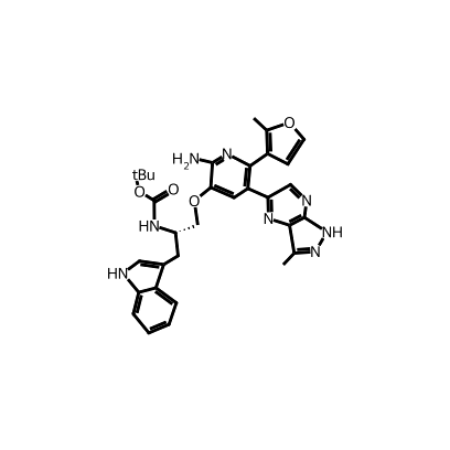 Cc1occc1-c1nc(N)c(OC[C@H](Cc2c[nH]c3ccccc23)NC(=O)OC(C)(C)C)cc1-c1cnc2[nH]nc(C)c2n1